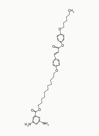 CCCCCCOc1ccc(OC(=O)/C=C/c2ccc(OCCCCCCCCCCCOC(=O)c3cc(N)cc(N)c3)cc2)cc1